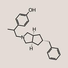 CC(CN1C[C@H]2C[C@H](Cc3ccccc3)C[C@H]2C1)c1ccc(O)cc1